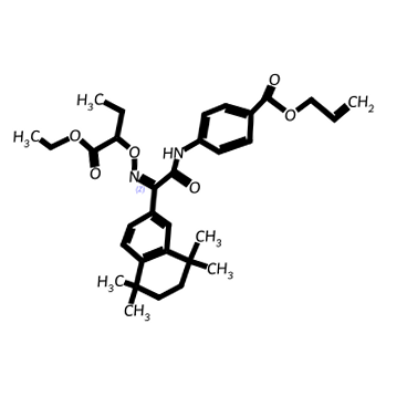 C=CCOC(=O)c1ccc(NC(=O)/C(=N\OC(CC)C(=O)OCC)c2ccc3c(c2)C(C)(C)CCC3(C)C)cc1